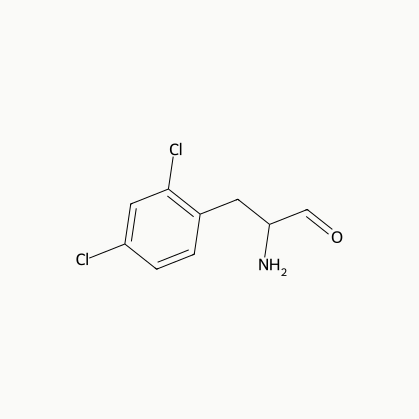 NC(C=O)Cc1ccc(Cl)cc1Cl